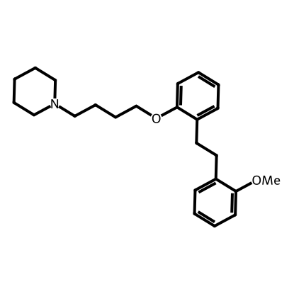 COc1ccccc1CCc1ccccc1OCCCCN1CCCCC1